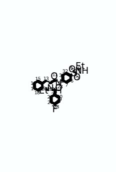 CCNS(=O)(=O)c1ccc(NC(=O)[C@H](Cc2ccccc2)N(CC)C(=O)c2ccc(F)cc2)cc1